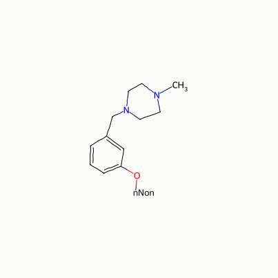 CCCCCCCCCOc1cccc(CN2CCN(C)CC2)c1